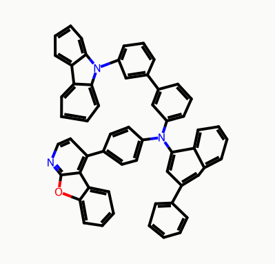 c1ccc(-c2cc(N(c3ccc(-c4ccnc5oc6ccccc6c45)cc3)c3cccc(-c4cccc(-n5c6ccccc6c6ccccc65)c4)c3)c3ccccc3c2)cc1